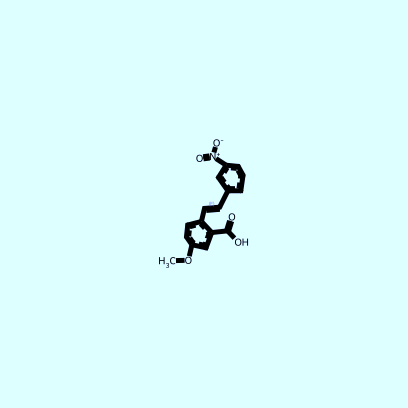 COc1ccc(/C=C/c2cccc([N+](=O)[O-])c2)c(C(=O)O)c1